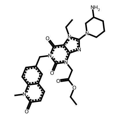 CCOC(=O)Cn1c(=O)n(Cc2ccc3c(ccc(=O)n3C)c2)c(=O)c2c1nc(N1CCCC(N)C1)n2CC